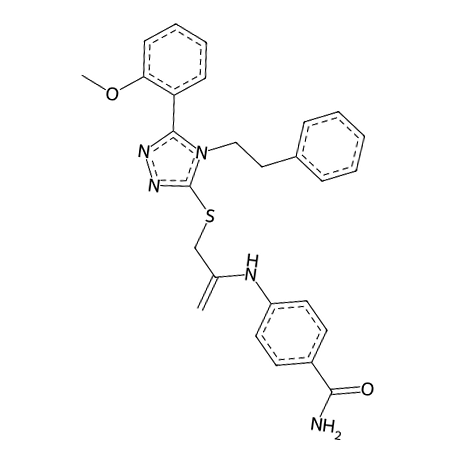 C=C(CSc1nnc(-c2ccccc2OC)n1CCc1ccccc1)Nc1ccc(C(N)=O)cc1